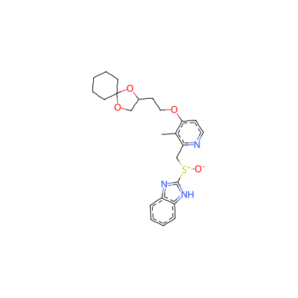 Cc1c(OCCC2COC3(CCCCC3)O2)ccnc1C[S+]([O-])c1nc2ccccc2[nH]1